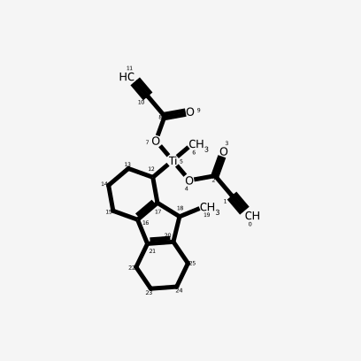 C#CC(=O)[O][Ti]([CH3])([O]C(=O)C#C)[CH]1CCCC2=C1C(C)C1=C2CCCC1